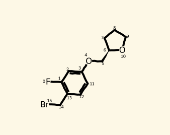 Fc1cc(OC[C@H]2CCCO2)ccc1CBr